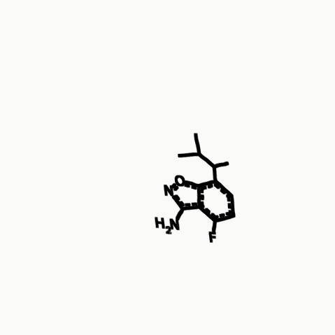 CC(C)C(C)c1ccc(F)c2c(N)noc12